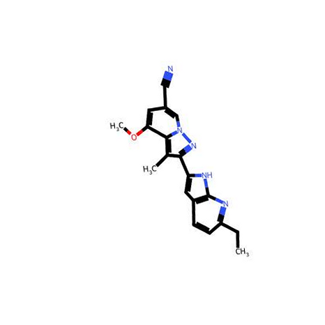 CCc1ccc2cc(-c3nn4cc(C#N)cc(OC)c4c3C)[nH]c2n1